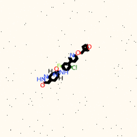 O=C(Nc1cc(Cl)c(-c2ccc(OCC34COC(C3)C4)nc2)cc1F)N1[C@H]2CC[C@@H]1c1n[nH]c(=O)cc1C2